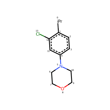 CC(C)c1ccc(N2CCOCC2)cc1Cl